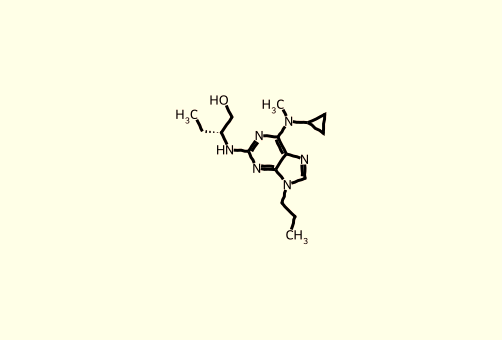 CCCn1cnc2c(N(C)C3CC3)nc(N[C@H](CC)CO)nc21